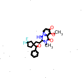 COc1c2n(ccc1=O)NC(CCC1(C(=O)c3ccccc3)CCC(F)(F)C1)N(C)C2=O